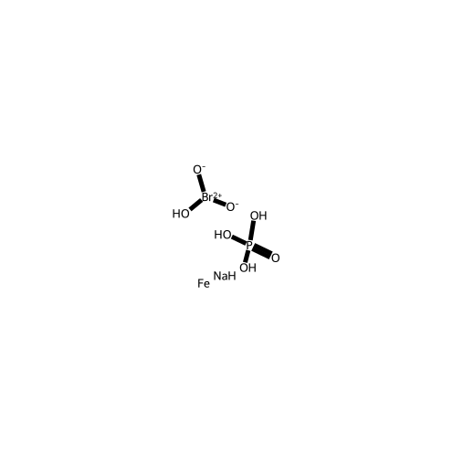 O=P(O)(O)O.[Fe].[NaH].[O-][Br+2]([O-])O